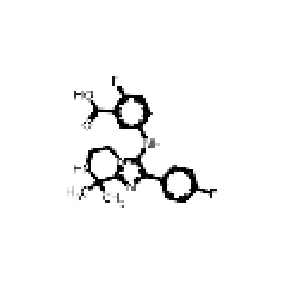 CC1(C)NCCn2c1nc(-c1ccc(F)cc1)c2Nc1ccc(F)c(C(=O)O)c1